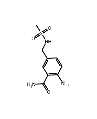 CS(=O)(=O)NCc1ccc(N)c(C(N)=O)c1